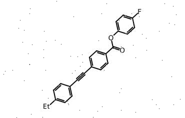 CCc1ccc(C#Cc2ccc(C(=O)Oc3ccc(F)cc3)cc2)cc1